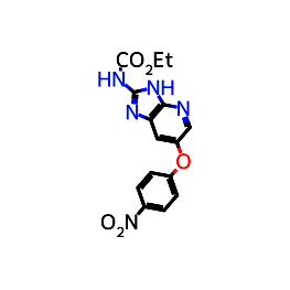 CCOC(=O)Nc1nc2cc(Oc3ccc([N+](=O)[O-])cc3)cnc2[nH]1